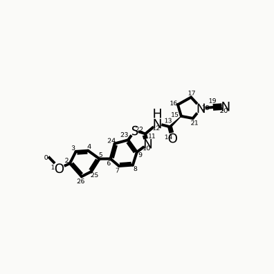 COc1ccc(-c2ccc3nc(NC(=O)[C@H]4CCN(C#N)C4)sc3c2)cc1